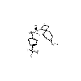 CC1CCC2(CC1)COC2S(=O)(=O)Nc1ccc(C(F)(F)F)cc1